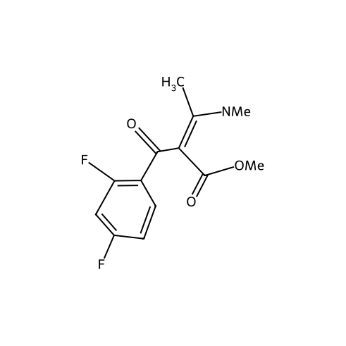 CNC(C)=C(C(=O)OC)C(=O)c1ccc(F)cc1F